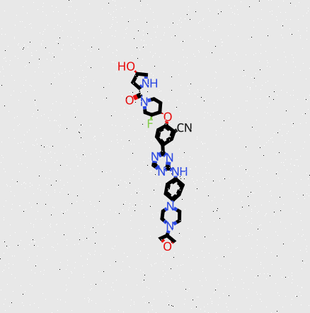 N#Cc1cc(-c2ncnc(Nc3ccc(N4CCN(C5COC5)CC4)cc3)n2)ccc1O[C@H]1CCN(C(=O)[C@@H]2C[C@@H](O)CN2)C[C@@H]1F